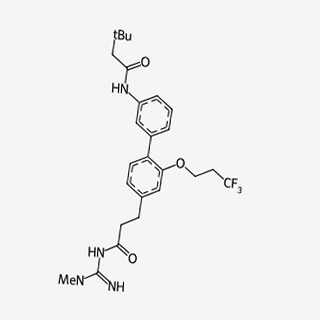 CNC(=N)NC(=O)CCc1ccc(-c2cccc(NC(=O)CC(C)(C)C)c2)c(OCCC(F)(F)F)c1